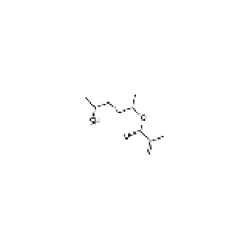 C=C(C)C(=O)OC(C)CCC(C)S